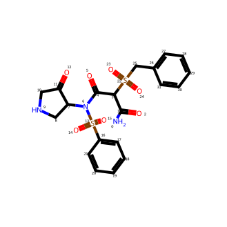 NC(=O)C(C(=O)N(C1CNCC1=O)S(=O)(=O)c1ccccc1)S(=O)(=O)Cc1ccccc1